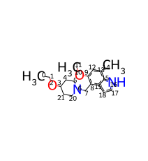 CCOC1CCN(Cc2c(OC)cc(C)c3[nH]ccc23)CC1